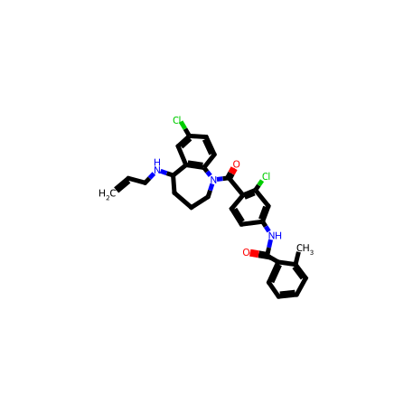 C=CCNC1CCCN(C(=O)c2ccc(NC(=O)c3ccccc3C)cc2Cl)c2ccc(Cl)cc21